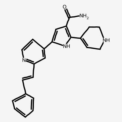 NC(=O)c1cc(-c2ccnc(/C=C/c3ccccc3)c2)[nH]c1C1=CCNCC1